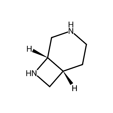 C1C[C@@H]2CN[C@@H]2CN1